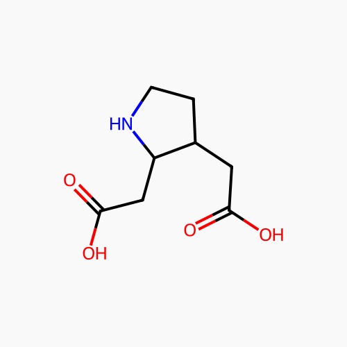 O=C(O)CC1CCNC1CC(=O)O